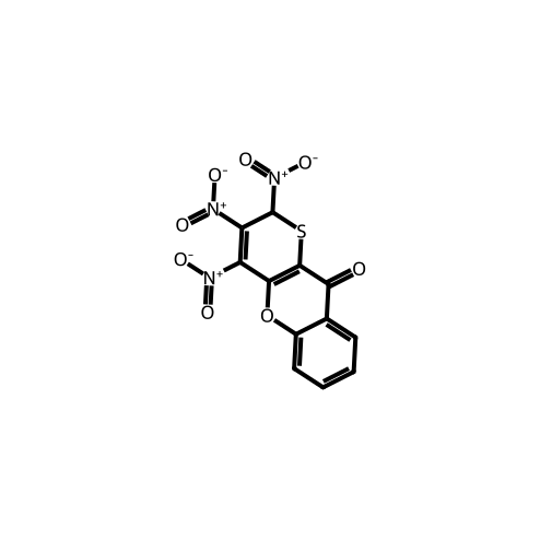 O=c1c2c(oc3ccccc13)C([N+](=O)[O-])=C([N+](=O)[O-])C([N+](=O)[O-])S2